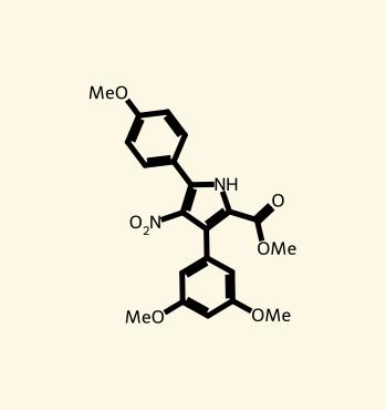 COC(=O)c1[nH]c(-c2ccc(OC)cc2)c([N+](=O)[O-])c1-c1cc(OC)cc(OC)c1